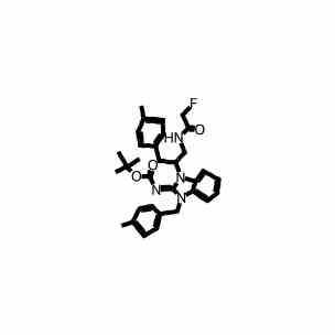 Cc1ccc(CC(CNC(=O)CF)n2c(=NC(=O)OC(C)(C)C)n(Cc3ccc(C)cc3)c3ccccc32)cc1